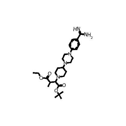 CCOC(=O)C(C)C(C(=O)OC(C)(C)C)N1CCC(N2CCN(c3ccc(C(=N)N)cc3)CC2)CC1